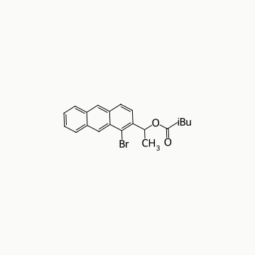 CCC(C)C(=O)OC(C)c1ccc2cc3ccccc3cc2c1Br